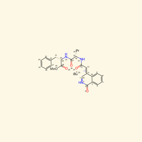 CC[C@H](C)[C@@H]1NC(=O)c2ccccc2/C1=C/C(=O)N[C@H](C(=O)N[C@@H](Cc1ccccc1)C(=O)OC)C(C)C